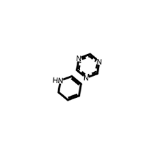 C1=CCNC=C1.c1ncncn1